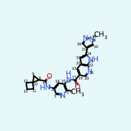 Cc1ncc(NC(=O)C2CC23CCC3)cc1NC(=O)c1cnc2[nH]c(-c3cnn(C)c3)cc2c1